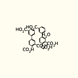 O.O=C(O)c1cccc(-c2ccc(C(=O)O)c(C(=O)O)c2)c1.O=C(O)c1cccc(-c2ccc(C(=O)O)c(C(=O)O)c2)c1